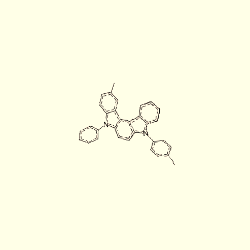 Cc1ccc(-n2c3ccccc3c3c4c5cc(C)ccc5n(-c5ccccc5)c4ccc32)cc1